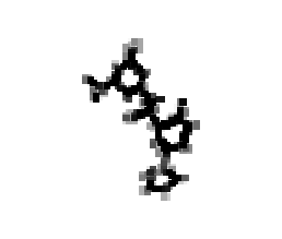 CN(C)c1cc(Cl)cc(NC(=O)c2cc(N3CCCS3)ccc2Cl)c1